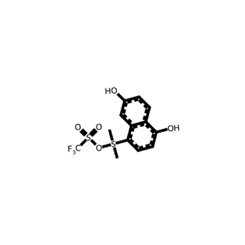 CS(C)(OS(=O)(=O)C(F)(F)F)c1ccc(O)c2ccc(O)cc12